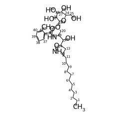 CCCCCCCCCCCCCCC(ON)C(O)C(COC1OC(CO)C(O)C(O)C1O)NC(=O)c1ccccc1C